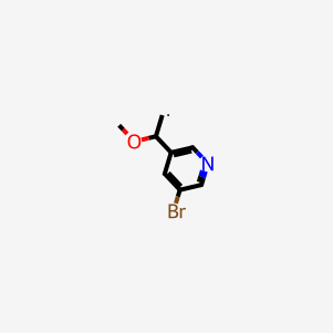 [CH2]C(OC)c1cncc(Br)c1